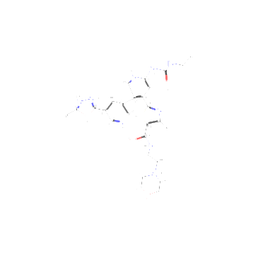 CCNC(=O)Nc1cc(-c2nc(C)c(C(=O)NCCN3CCOCC3)s2)c(-c2cncc(-c3nnc(C)o3)c2)cn1